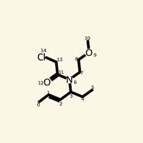 CC=CC(CC)N(CCOC)C(=O)CCl